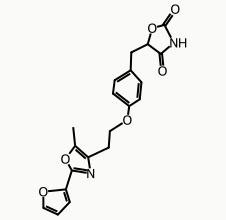 Cc1oc(-c2ccco2)nc1CCOc1ccc(CC2OC(=O)NC2=O)cc1